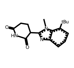 Cn1c(C2CCC(=O)NC2=O)nc2cccc(C(C)(C)C)c21